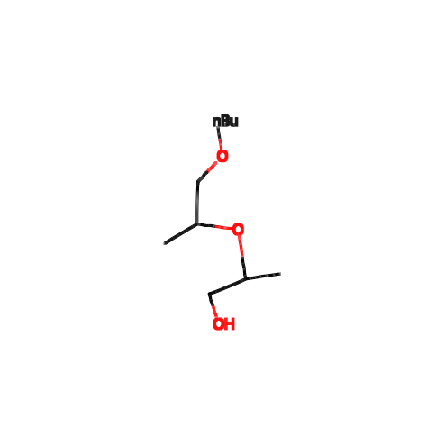 CCCCOCC(C)OC(C)CO